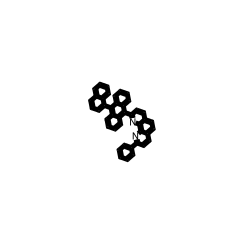 c1ccc(-c2ccc3ccc4ccc(-c5c6ccccc6c(-c6cccc7ccccc67)c6ccccc56)nc4c3n2)cc1